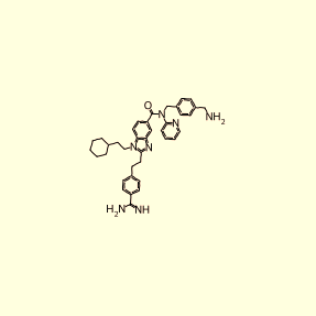 N=C(N)c1ccc(CCc2nc3cc(C(=O)N(Cc4ccc(CN)cc4)c4ccccn4)ccc3n2CCC2CCCCC2)cc1